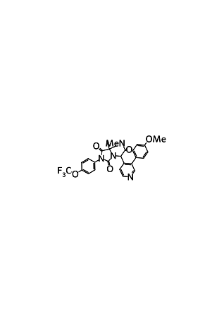 CNC(=O)C(c1ccncc1-c1ccc(OC)cc1)N1C(=O)N(c2ccc(OC(F)(F)F)cc2)C(=O)C1(C)C